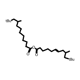 CC(CC=CCCCCC(=O)OC(=O)CCCCCCCC(C)CC(C)(C)C)CC(C)(C)C